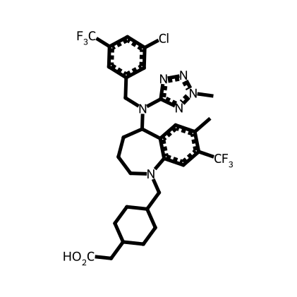 Cc1cc2c(cc1C(F)(F)F)N(CC1CCC(CC(=O)O)CC1)CCCC2N(Cc1cc(Cl)cc(C(F)(F)F)c1)c1nnn(C)n1